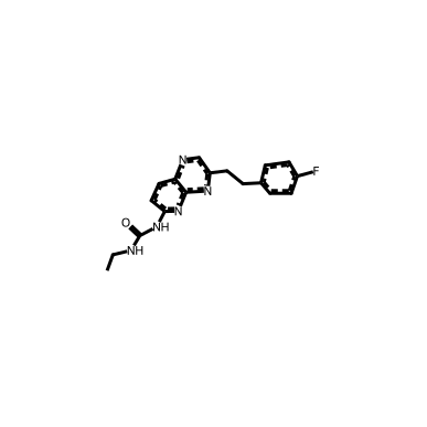 CCNC(=O)Nc1ccc2ncc(CCc3ccc(F)cc3)nc2n1